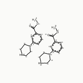 COC(=O)c1nccc(N2CCNCC2)n1.COC(=O)c1nccc(N2CCNCC2)n1